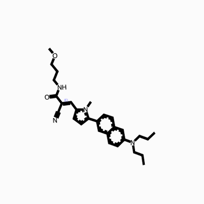 CCCN(CCC)c1ccc2cc(-c3ccc(/C=C(\C#N)C(=O)NCCCOC)n3C)ccc2c1